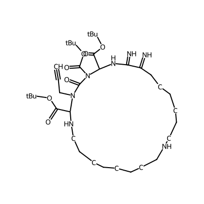 C#CCN1C(=O)N(C(=O)OC(C)(C)C)C(C(=O)OC(C)(C)C)NC(=N)C(=N)CCCCCCNCCCCCCCCNC1C(=O)OC(C)(C)C